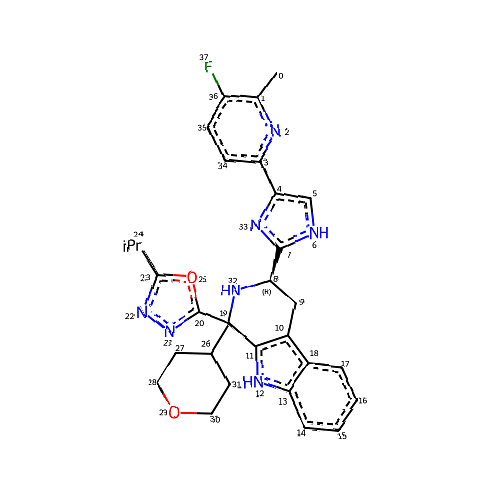 Cc1nc(-c2c[nH]c([C@H]3Cc4c([nH]c5ccccc45)C(c4nnc(C(C)C)o4)(C4CCOCC4)N3)n2)ccc1F